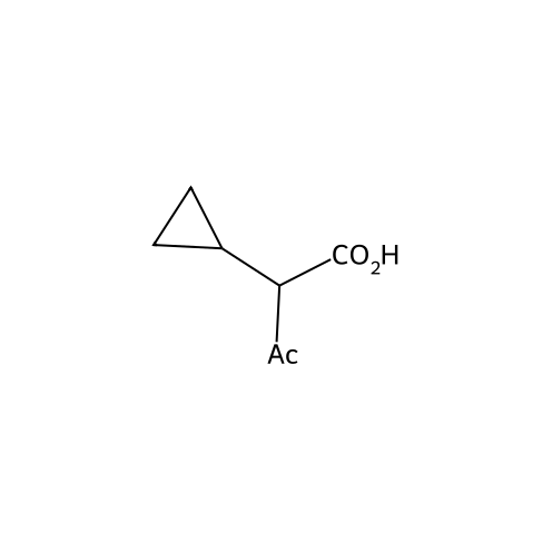 CC(=O)C(C(=O)O)C1CC1